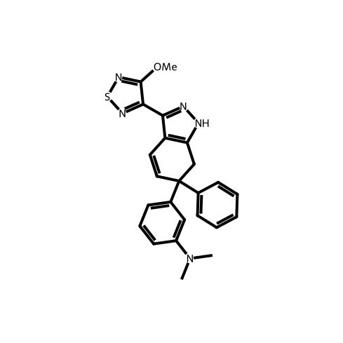 COc1nsnc1-c1n[nH]c2c1C=CC(c1ccccc1)(c1cccc(N(C)C)c1)C2